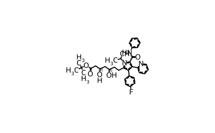 CC(C)n1c(CC[C@@H](O)C[C@@H](O)CC(=O)OC(C)(C)C)c(-c2ccc(F)cc2)c(-c2ccccn2)c1C(=O)Nc1ccccc1